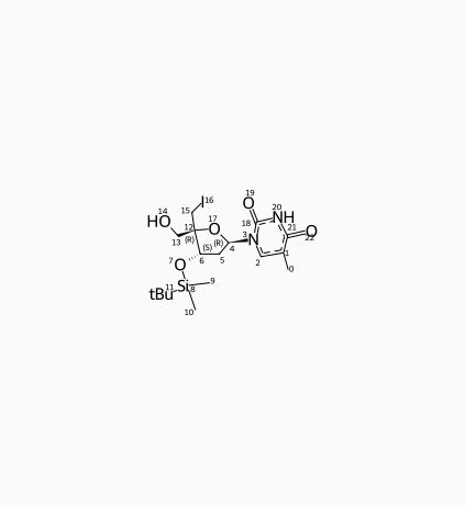 Cc1cn([C@H]2C[C@H](O[Si](C)(C)C(C)(C)C)[C@](CO)(CI)O2)c(=O)[nH]c1=O